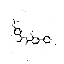 COc1cc(-c2ccncc2)ccc1C(=O)NC(CO)c1ccc(OC(C)C)cc1